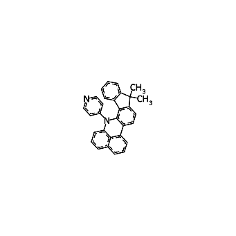 CC1(C)c2ccccc2-c2c1ccc1c2N(c2ccncc2)c2cccc3cccc-1c23